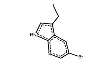 Brc1cnc2[nH]cc(CI)c2c1